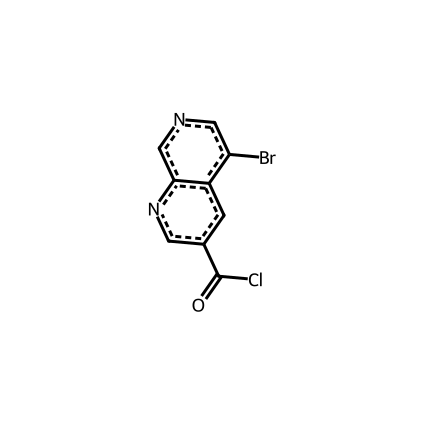 O=C(Cl)c1cnc2cncc(Br)c2c1